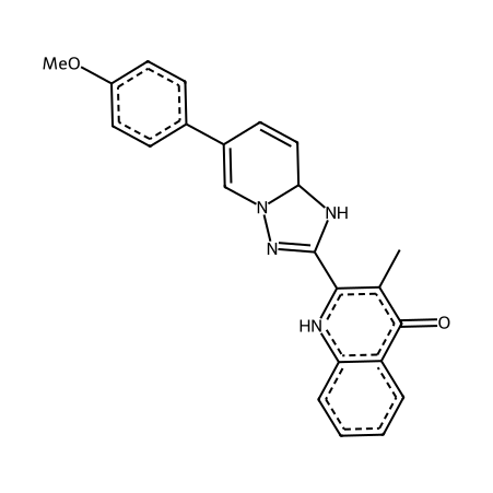 COc1ccc(C2=CN3N=C(c4[nH]c5ccccc5c(=O)c4C)NC3C=C2)cc1